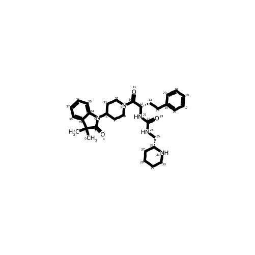 CC1(C)C(=O)N(C2CCN(C(=O)[C@H](CCc3ccccc3)NC(=O)NC[C@H]3CCCCN3)CC2)c2ccccc21